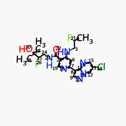 CC(F)CNc1cc(-c2cnn3cc(Cl)cnc23)ncc1C(=O)NCC(F)C(C)(C)O